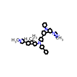 C[n+]1ccc(-c2ccc3c(c2)C(C)(C)c2cc(N(c4ccc(-c5ccccc5)cc4)c4ccc(-c5ccc6c(c5)c5cc(-n7cc[n+](C)c7)ccc5n6-c5ccccc5)cc4)ccc2-3)cc1